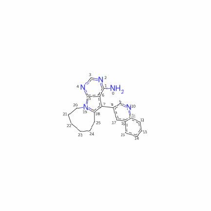 Nc1ncnc2c1c(-c1cnc3ccccc3c1)c1n2CCCCCC1